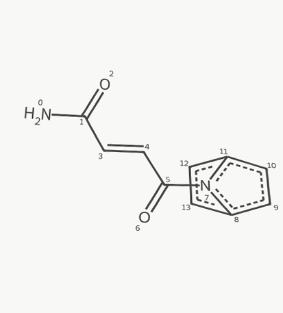 NC(=O)/C=C/C(=O)n1c2ccc1cc2